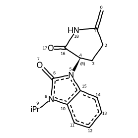 C=C1CC[C@@H](n2c(=O)n(C(C)C)c3ccccc32)C(=O)N1